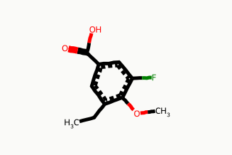 CCc1cc(C(=O)O)cc(F)c1OC